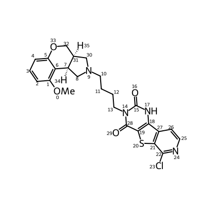 COc1cccc2c1[C@@H]1CN(CCCCn3c(=O)[nH]c4c(sc5c(Cl)nccc54)c3=O)C[C@@H]1CO2